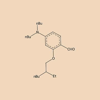 CCCCC(CC)COc1cc(N(CCCC)CCCC)ccc1C=O